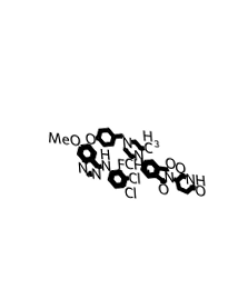 COc1cc2ncnc(Nc3ccc(Cl)c(Cl)c3F)c2cc1OC1CCC(CN2CC(C)N(c3ccc4c(c3)C(=O)N(C3CCC(=O)NC3=O)C4=O)C(C)C2)CC1